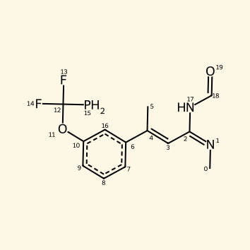 C/N=C(\C=C(/C)c1cccc(OC(F)(F)P)c1)NC=O